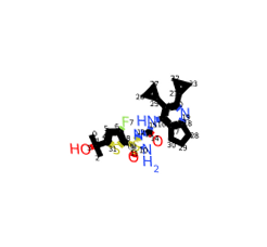 CC(C)(O)c1cc(F)c([S@@](N)(=O)=NC(=O)Nc2c3c(nc(C4CC4)c2C2CC2)CCC3)s1